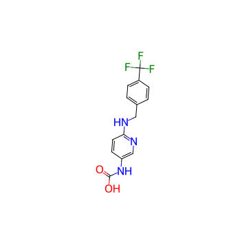 O=C(O)Nc1ccc(NCc2ccc(C(F)(F)F)cc2)nc1